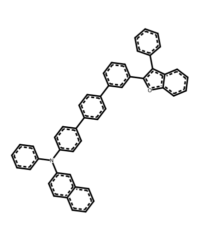 c1ccc(-c2c(-c3cccc(-c4ccc(-c5ccc(N(c6ccccc6)c6ccc7ccccc7c6)cc5)cc4)c3)oc3ccccc23)cc1